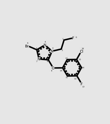 FCCn1nc(Br)nc1Oc1cc(F)cc(Cl)c1